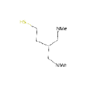 CNCC(CCS)CNC